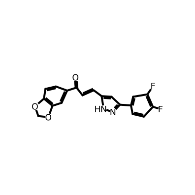 O=C(C=Cc1cc(-c2ccc(F)c(F)c2)n[nH]1)c1ccc2c(c1)OCO2